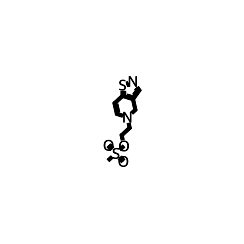 CS(=O)(=O)OCCN1C=Cc2sncc2C1